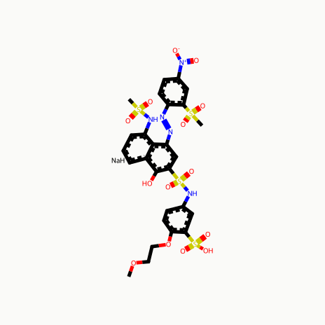 COCCOc1ccc(NS(=O)(=O)c2cc(N=Nc3ccc([N+](=O)[O-])cc3S(C)(=O)=O)c3c(NS(C)(=O)=O)cccc3c2O)cc1S(=O)(=O)O.[NaH]